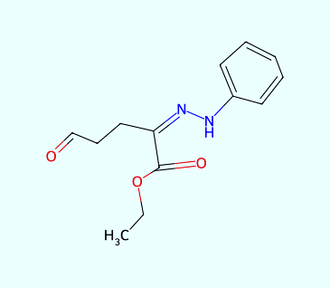 CCOC(=O)C(CCC=O)=NNc1ccccc1